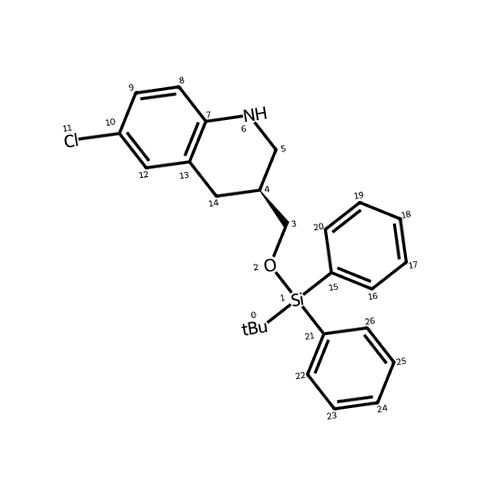 CC(C)(C)[Si](OC[C@@H]1CNc2ccc(Cl)cc2C1)(c1ccccc1)c1ccccc1